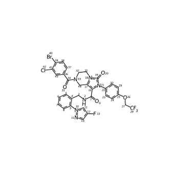 O=C(NCc1ccccc1-n1cc(F)cn1)c1c2n(c(=O)n1-c1ccc(OCC(F)(F)F)cc1)CCN(C(=O)c1ccc(Br)c(Cl)c1)C2